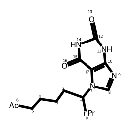 CCCC(CCCCC(C)=O)n1cnc2[nH]c(=O)[nH]c(=O)c21